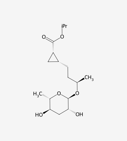 CC(C)OC(=O)[C@H]1C[C@H]1CC[C@@H](C)O[C@@H]1O[C@@H](C)[C@H](O)C[C@H]1O